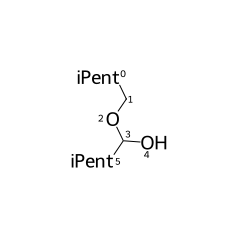 CCCC(C)COC(O)C(C)CCC